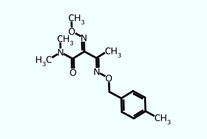 CO/N=C(C(=O)N(C)C)/C(C)=N/OCc1ccc(C)cc1